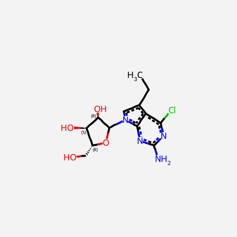 CCc1cn(C2O[C@H](CO)[C@@H](O)[C@H]2O)c2nc(N)nc(Cl)c12